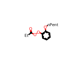 CCCCCOc1ccccc1OOC(=O)CC